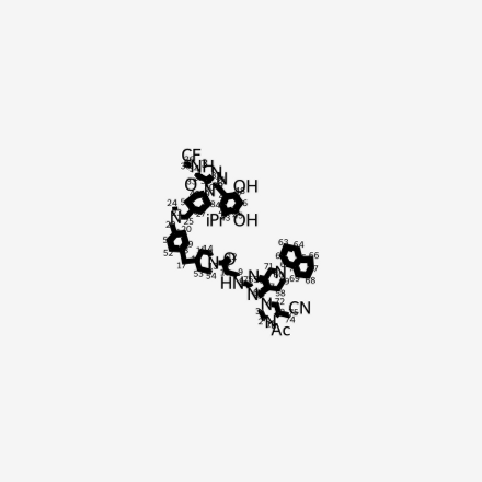 CC(=O)N1CCN(c2nc(NCCC(=O)N3CCC(Cc4ccc(CN(C)Cc5ccc(-n6c(C(=O)NCC(F)(F)F)nnc6-c6cc(C(C)C)c(O)cc6O)cc5)cc4)CC3)nc3c2CCN(c2cccc4ccccc24)C3)CC1CC#N